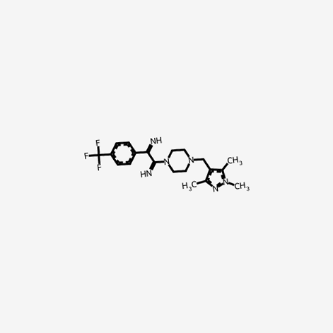 Cc1nn(C)c(C)c1CN1CCN(C(=N)C(=N)c2ccc(C(F)(F)F)cc2)CC1